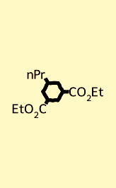 CCCC1CC(C(=O)OCC)CC(C(=O)OCC)C1